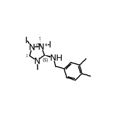 Cc1ccc(CN[C@H]2N(C)[C]N(I)[N@@+]2(C)I)cc1C